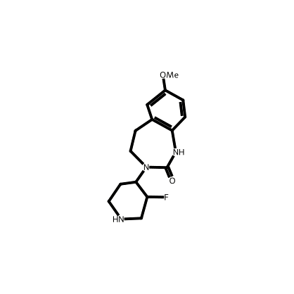 COc1ccc2c(c1)CCN(C1CCNCC1F)C(=O)N2